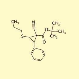 CCCSC1C(c2ccccc2)C1(C#N)C(=O)OC(C)(C)C